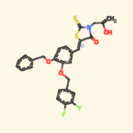 C=C(O)CN1C(=O)/C(=C/c2ccc(OCc3ccccc3)c(OCc3ccc(F)c(F)c3)c2)SC1=S